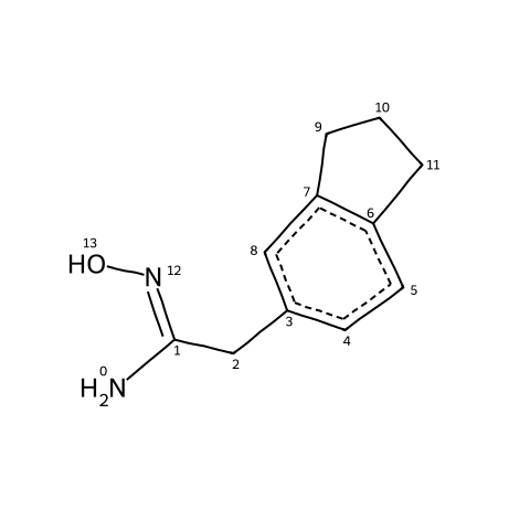 NC(Cc1ccc2c(c1)CCC2)=NO